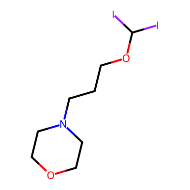 IC(I)OCCCN1CCOCC1